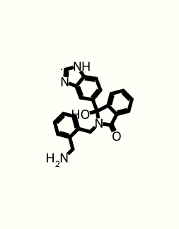 NCc1ccccc1CN1C(=O)c2ccccc2C1(O)c1ccc2[nH][c]nc2c1